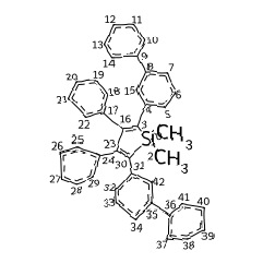 C[Si]1(C)C(c2cccc(-c3ccccc3)c2)=C(c2ccccc2)C(c2ccccc2)=C1c1cccc(-c2ccccc2)c1